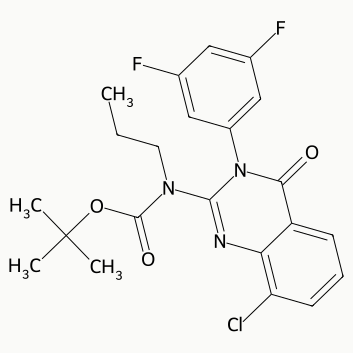 CCCN(C(=O)OC(C)(C)C)c1nc2c(Cl)cccc2c(=O)n1-c1cc(F)cc(F)c1